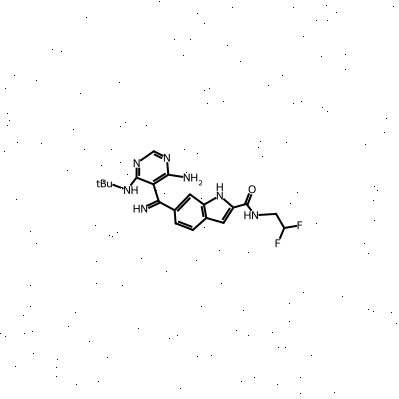 CC(C)(C)Nc1ncnc(N)c1C(=N)c1ccc2cc(C(=O)NCC(F)F)[nH]c2c1